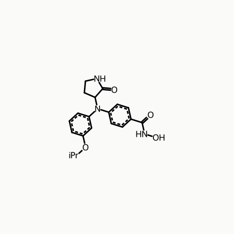 CC(C)Oc1cccc(N(c2ccc(C(=O)NO)cc2)C2CCNC2=O)c1